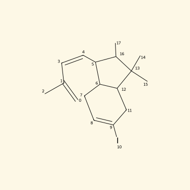 C=C(C)/C=C\C1C2CC=C(I)CC2C(C)(C)C1C